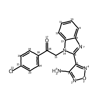 Nc1nonc1-c1nc2ccccc2n1CC(=O)c1ccc(Cl)cc1